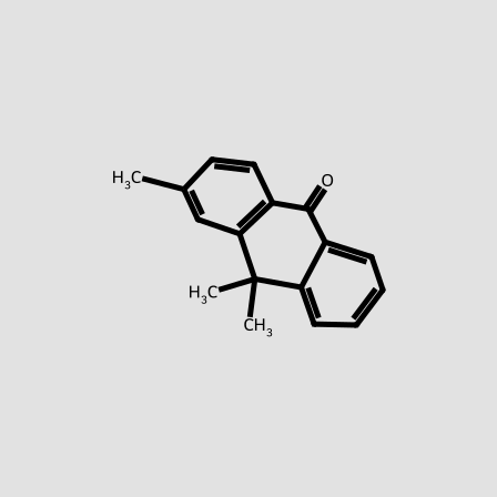 Cc1ccc2c(c1)C(C)(C)c1ccccc1C2=O